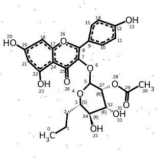 CCC[C@@H]1OC(Oc2c(-c3ccc(O)cc3)oc3cc(O)cc(O)c3c2=O)[C@H](OC(C)=O)[C@H](O)[C@H]1O